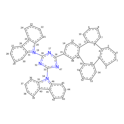 c1ccc2c(c1)-c1ccccc1-c1ccc(-c3nc(-n4c5ccccc5c5ccccc54)nc(-n4c5ccccc5c5ccccc54)n3)cc1-c1ccccc1-2